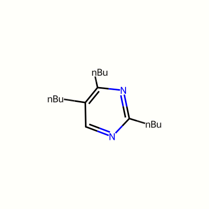 CCCCc1ncc(CCCC)c(CCCC)n1